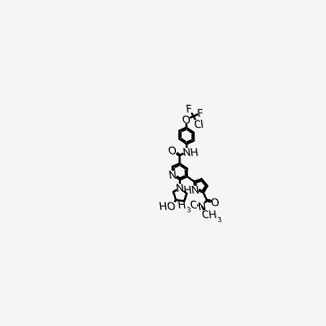 CN(C)C(=O)c1ccc(-c2cc(C(=O)Nc3ccc(OC(F)(F)Cl)cc3)cnc2N2CCC(O)C2)[nH]1